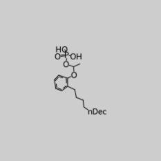 CCCCCCCCCCCCCCc1ccccc1OC(C)OP(=O)(O)O